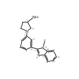 CNC1CCN(c2cccc(-c3nc4ccccc4n3C)c2)C1